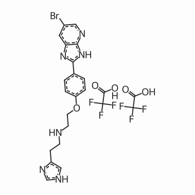 Brc1cnc2[nH]c(-c3ccc(OCCNCCc4c[nH]cn4)cc3)nc2c1.O=C(O)C(F)(F)F.O=C(O)C(F)(F)F